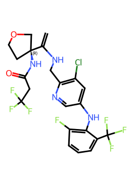 C=C(NCc1ncc(Nc2c(F)cccc2C(F)(F)F)cc1Cl)[C@]1(NC(=O)CC(F)(F)F)CCOC1